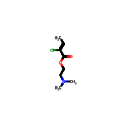 CC=C(Cl)C(=O)OCCN(C)C